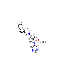 COc1ccccc1C1CCN([C@@H]2CCC3(C2)CN(c2cncnc2)C3OC=O)CC1